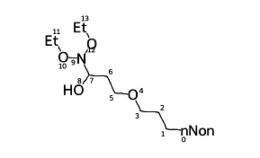 CCCCCCCCCCCCOCCC(O)N(OCC)OCC